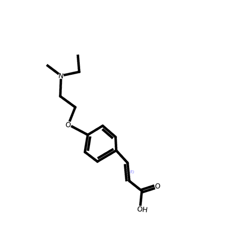 CCN(C)CCOc1ccc(/C=C/C(=O)O)cc1